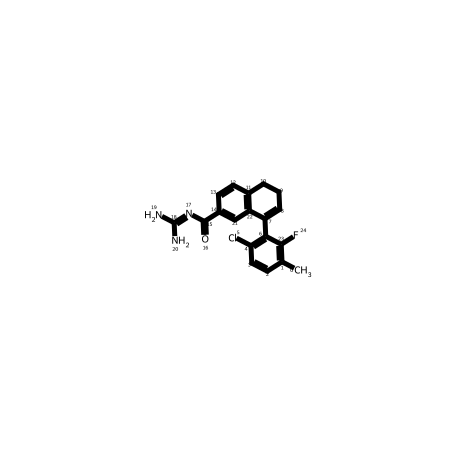 Cc1ccc(Cl)c(C2=CCCc3ccc(C(=O)N=C(N)N)cc32)c1F